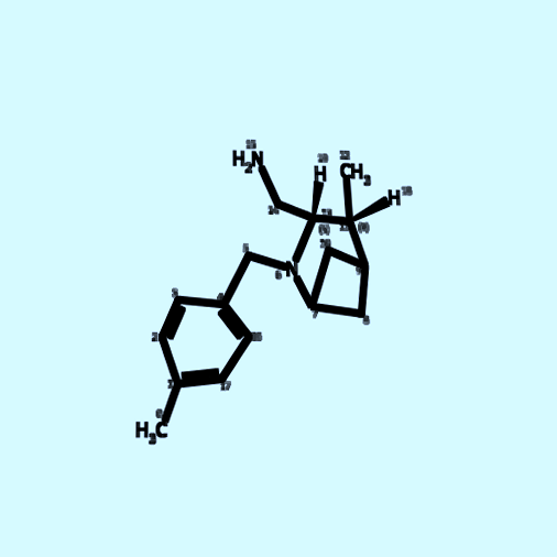 Cc1ccc(CN2C3CC(C3)[C@@H](C)[C@H]2CN)cc1